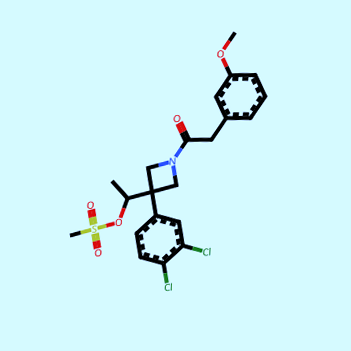 COc1cccc(CC(=O)N2CC(c3ccc(Cl)c(Cl)c3)(C(C)OS(C)(=O)=O)C2)c1